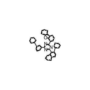 c1ccc(-c2cccc(-c3nc(-c4c(-c5ccccc5)ccc5ccccc45)nc(-c4cccc5c4oc4ccccc45)n3)c2)cc1